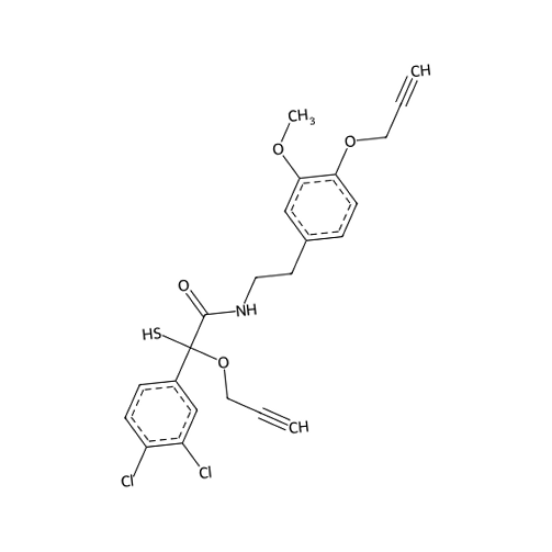 C#CCOc1ccc(CCNC(=O)C(S)(OCC#C)c2ccc(Cl)c(Cl)c2)cc1OC